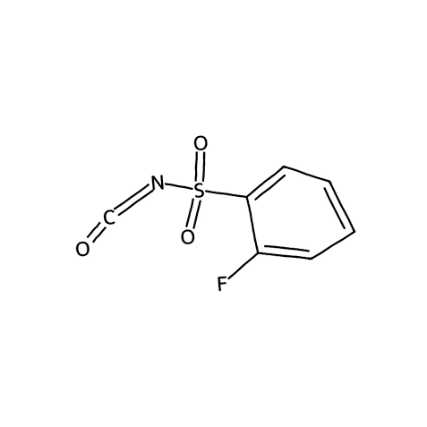 O=C=NS(=O)(=O)c1ccccc1F